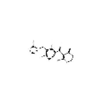 Cc1nnnn1Cc1c(Br)ccc(C(=O)C2=C(Cl)CCCC2=O)c1Br